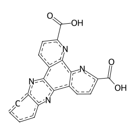 O=C(O)c1ccc2c(n1)c1nc(C(=O)O)ccc1c1nc3ccccc3nc21